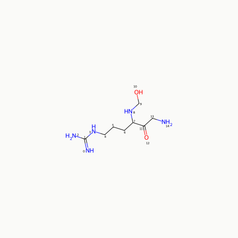 N=C(N)NCCCC(NCO)C(=O)CN